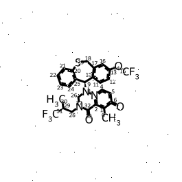 Cc1c2n(ccc1=O)N([C@@H]1c3ccc(OC(F)(F)F)cc3CSc3ccccc31)CN(C[C@H](C)C(F)(F)F)C2=O